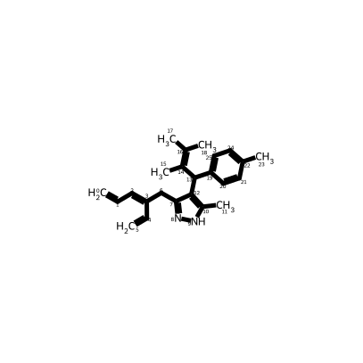 C=C/C=C(\C=C)Cc1n[nH]c(C)c1C(C(C)=C(C)C)c1ccc(C)cc1